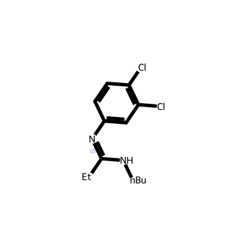 CCCCN/C(CC)=N\c1ccc(Cl)c(Cl)c1